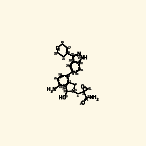 NC(=O)C1(CN2Cc3c(-c4ccc5[nH]nc(C6=CCOCC6)c5c4)ccc(N)c3C2O)CO1